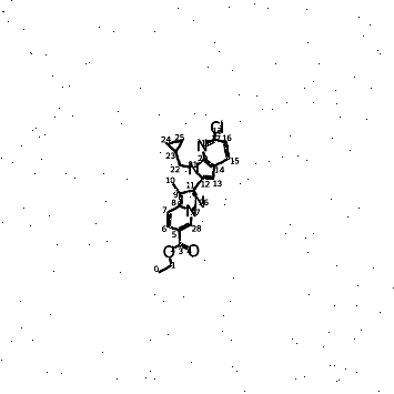 CCOC(=O)c1ccc2c(C)c(-c3cc4ccc(Cl)nc4n3CC3CC3)nn2c1